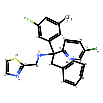 Fc1cc(C(F)(F)F)cc(C(Cc2ccccc2)(NCc2nccs2)c2ccc(Cl)cn2)c1